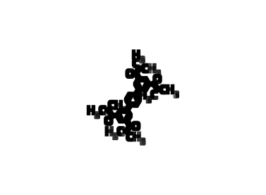 CC(C)C(=O)c1cc(C(=O)C(C)C)cc(-c2ccc(-c3cc(C(=O)C(C)C)cc(C(=O)C(C)C)c3)cc2)c1